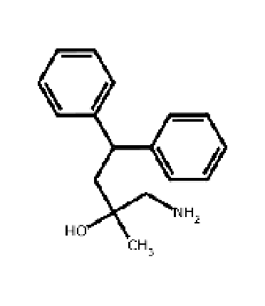 CC(O)(CN)CC(c1ccccc1)c1ccccc1